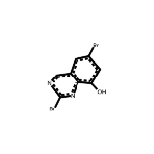 Oc1cc(Br)cc2cnc(Br)nc12